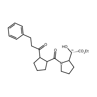 CCOC(=O)[C@@H](O)C1CCCN1C(=O)C1CCCC1C(=O)CCc1ccccc1